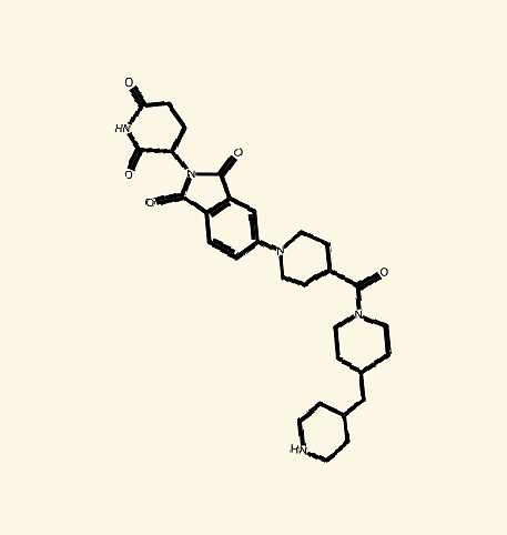 O=C1CCC(N2C(=O)c3ccc(N4CCC(C(=O)N5CCC(CC6CCNCC6)CC5)CC4)cc3C2=O)C(=O)N1